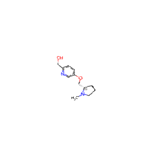 CN1CCC[C@H]1COc1ccc(CO)nc1